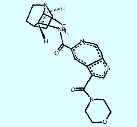 C[C@H]1[C@H](NC(=O)c2cc3c(C(=O)N4CCOCC4)csc3cn2)C2CCN1CC2